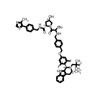 Cc1ncsc1-c1ccc(CNC(=O)[C@@H]2C[C@@H](O)CN2C(=O)C(NCc2ccc(COc3cc(F)c([C@@H]4c5[nH]c6ccccc6c5C[C@@H](C)N4CC(C)(C)F)c(F)c3)cc2)C(C)(C)C)cc1